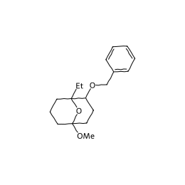 CCC12CCCC(OC)(CCC1OCc1ccccc1)O2